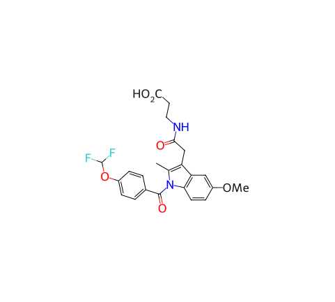 COc1ccc2c(c1)c(CC(=O)NCCC(=O)O)c(C)n2C(=O)c1ccc(OC(F)F)cc1